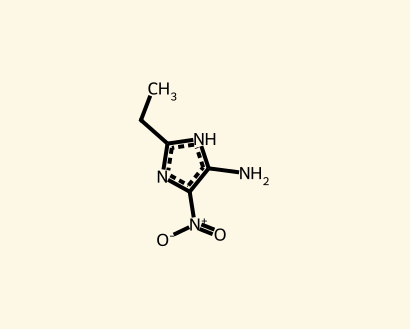 CCc1nc([N+](=O)[O-])c(N)[nH]1